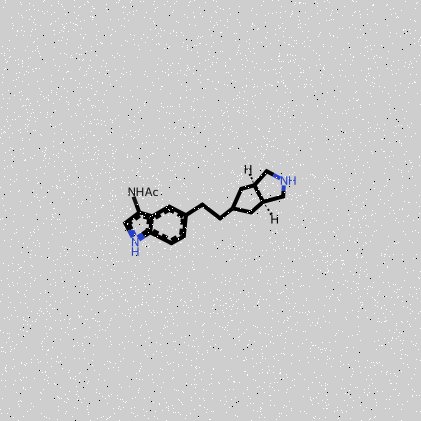 CC(=O)Nc1c[nH]c2ccc(CCC3C[C@H]4CNC[C@H]4C3)cc12